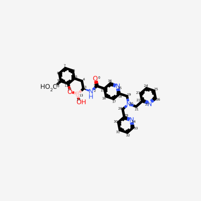 O=C(N[C@@H]1Cc2cccc(C(=O)O)c2OB1O)c1ccc(CN(Cc2ccccn2)Cc2ccccn2)nc1